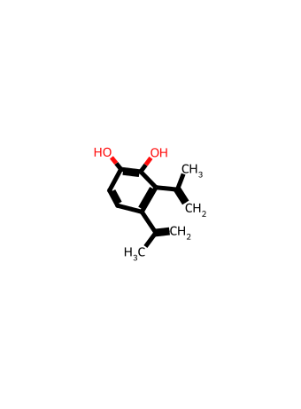 C=C(C)c1ccc(O)c(O)c1C(=C)C